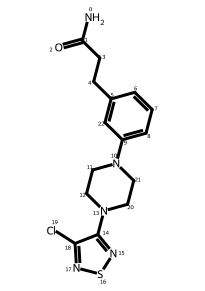 NC(=O)[CH]Cc1cccc(N2CCN(c3nsnc3Cl)CC2)c1